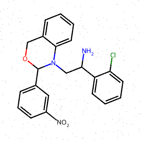 NC(CN1c2ccccc2COC1c1cccc([N+](=O)[O-])c1)c1ccccc1Cl